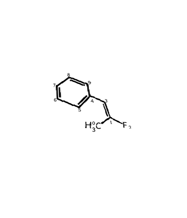 C/C(F)=C\c1ccccc1